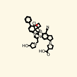 Cn1cc(CN2CCC(O)C2)nc1SC1(C2(COc3ccc4c(c3C#N)CC[C@H]4N3CCC(C(=O)O)C3)C=CC=C(c3ccccc3)C2(C)Cl)CCC1